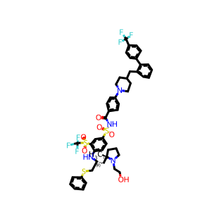 C[C@@]1(C[C@H](CSc2ccccc2)Nc2ccc(S(=O)(=O)NC(=O)c3ccc(N4CCC(Cc5ccccc5-c5ccc(C(F)(F)F)cc5)CC4)cc3)cc2S(=O)(=O)C(F)(F)F)CCCN1CCO